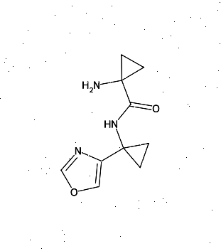 NC1(C(=O)NC2(c3cocn3)CC2)CC1